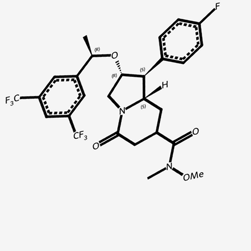 CON(C)C(=O)C1CC(=O)N2C[C@H](O[C@H](C)c3cc(C(F)(F)F)cc(C(F)(F)F)c3)[C@@H](c3ccc(F)cc3)[C@@H]2C1